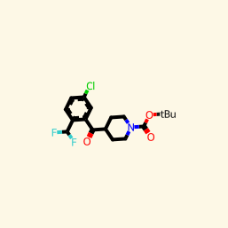 CC(C)(C)OC(=O)N1CCC(C(=O)c2cc(Cl)ccc2C(F)F)CC1